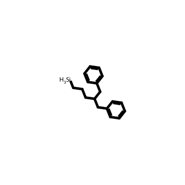 [SiH3]CCCC(Cc1ccccc1)Cc1ccccc1